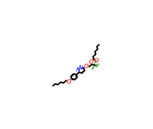 CCCCCCOc1ccc(-c2ccc(OCC(OC(=O)CCCCCC)C(F)(F)F)nn2)cc1